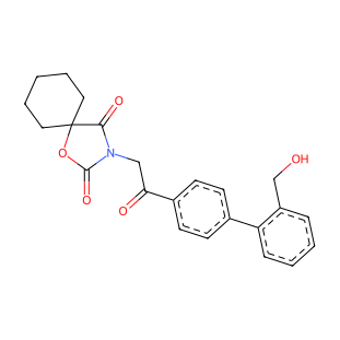 O=C(CN1C(=O)OC2(CCCCC2)C1=O)c1ccc(-c2ccccc2CO)cc1